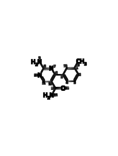 Cc1cccc(-c2nc(N)ncc2C(N)=O)c1